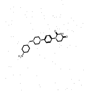 N[C@H]1CC[C@H](CN2CCN(c3ccc(N4CCC(=O)NC4=O)cc3)CC2)CC1